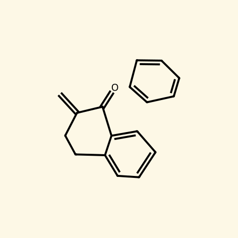 C=C1CCc2ccccc2C1=O.c1ccccc1